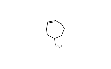 O=C(O)C1CCC=CCCC1